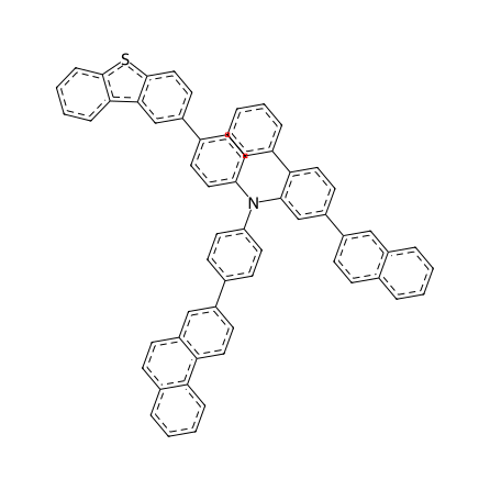 c1ccc(-c2ccc(-c3ccc4ccccc4c3)cc2N(c2ccc(-c3ccc4c(ccc5ccccc54)c3)cc2)c2ccc(-c3ccc4sc5ccccc5c4c3)cc2)cc1